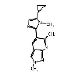 Cc1nc2nn(C)cc2cc1-c1ncc(C2CC2)n1C